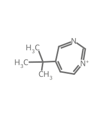 CC(C)(C)C1=CC=[N+]=CN=C1